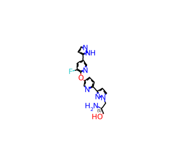 N[C@H](CO)Cn1ccc(-c2ccc(Oc3ncc(-c4ccn[nH]4)cc3F)cn2)n1